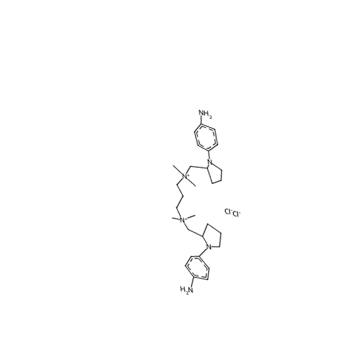 C[N+](C)(CCC[N+](C)(C)CC1CCCN1c1ccc(N)cc1)CC1CCCN1c1ccc(N)cc1.[Cl-].[Cl-]